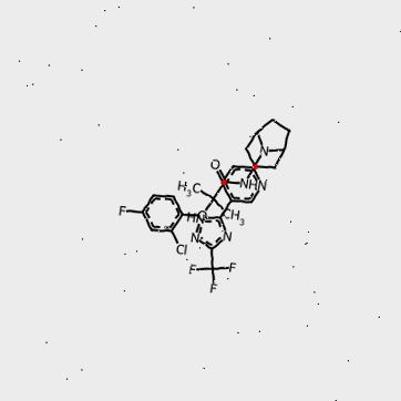 CC(C)(Oc1ccc(F)cc1Cl)C(=O)NC1CC2CCC(C1)N2c1ccc(-c2nc(C(F)(F)F)n[nH]2)cn1